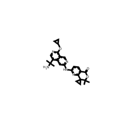 CC(C)(N)c1cnc(OC2CC2)c2cnc(Nc3ccc4c(n3)C3(CC3)C(C)(C)OC4=O)cc12